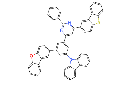 c1ccc(-c2nc(-c3cc(-c4ccc5oc6ccccc6c5c4)cc(-n4c5ccccc5c5ccccc54)c3)cc(-c3ccc4sc5ccccc5c4c3)n2)cc1